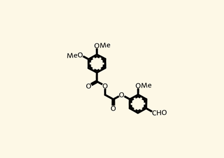 COc1ccc(C(=O)OCC(=O)Oc2ccc(C=O)cc2OC)cc1OC